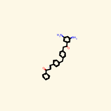 Nc1cc(N)cc(C(=O)Cc2ccc(Cc3ccc(/C=C/C(=O)c4ccccc4)cc3)cc2)c1